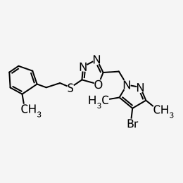 Cc1ccccc1CCSc1nnc(Cn2nc(C)c(Br)c2C)o1